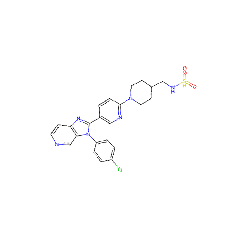 O=[SH](=O)NCC1CCN(c2ccc(-c3nc4ccncc4n3-c3ccc(Cl)cc3)cn2)CC1